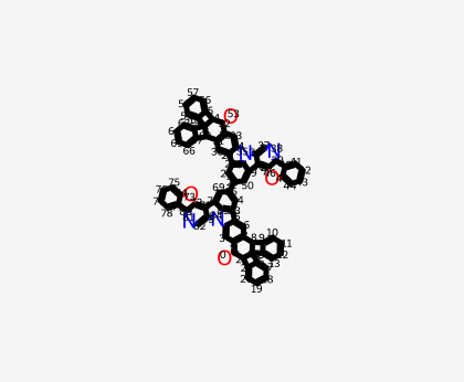 O=C1c2cc3c(cc2C2c4ccccc4C24c2ccccc2C14)c1cc(-c2cc4c5cc6c(cc5n5c7cnc8c9ccccc9oc8c7c(c2)c45)C(=O)C2c4ccccc4C24c2ccccc2C64)cc2c4c5oc6ccccc6c5ncc4n3c12